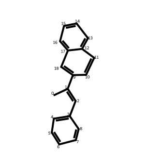 CC(=Cc1ccccc1)c1ccc2ccccc2c1